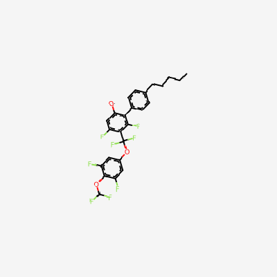 CCCCCc1ccc(-c2c([O])cc(F)c(C(F)(F)Oc3cc(F)c(OC(F)F)c(F)c3)c2F)cc1